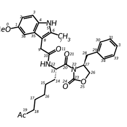 COc1ccc2[nH]c(C)c(CC(=O)N[C@@H](CCCCCC(C)=O)C(=O)N3C(=O)OC[C@@H]3Cc3ccccc3)c2c1